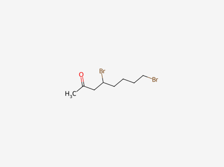 CC(=O)CC(Br)CCCCBr